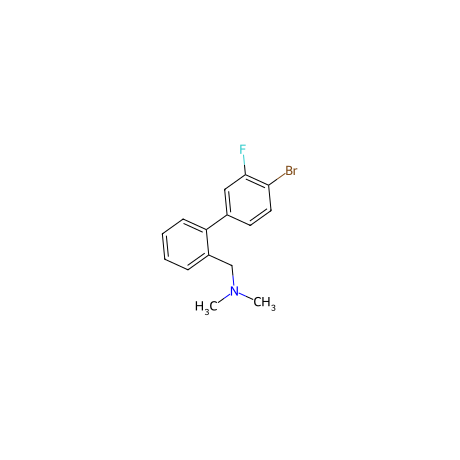 CN(C)Cc1ccccc1-c1ccc(Br)c(F)c1